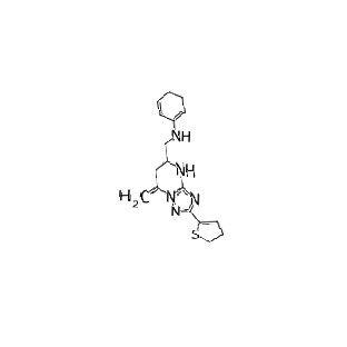 C=C1CC(CNC2=CCCC=C2)Nc2nc(C3=CCCS3)nn21